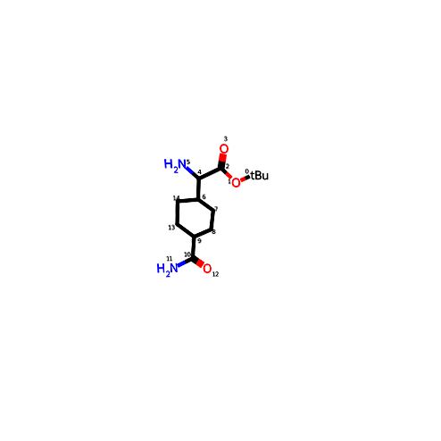 CC(C)(C)OC(=O)C(N)C1CCC(C(N)=O)CC1